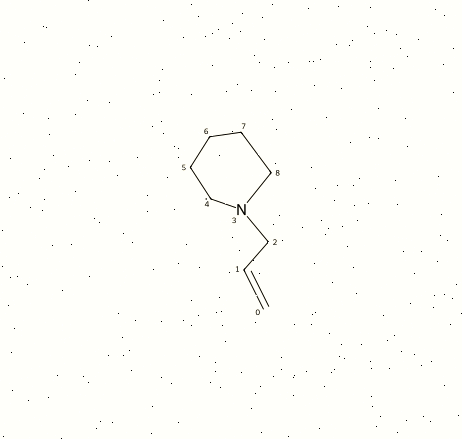 C=CCN1[CH]CCCC1